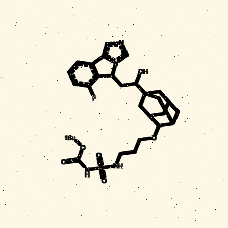 CC(C)(C)OC(=O)NS(=O)(=O)NCCCOC1C2CC3CC1CC(C(O)CC1c4c(F)cccc4-c4cncn41)(C3)C2